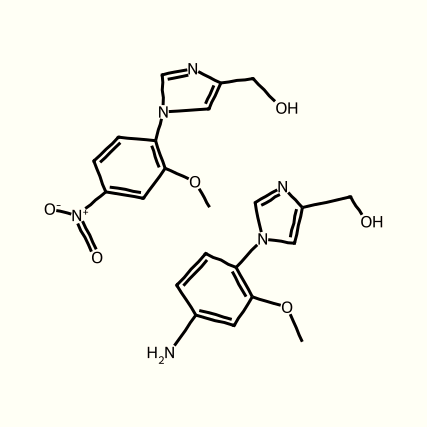 COc1cc(N)ccc1-n1cnc(CO)c1.COc1cc([N+](=O)[O-])ccc1-n1cnc(CO)c1